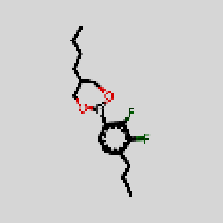 CCCCC1COB(c2ccc(CCC)c(F)c2F)OC1